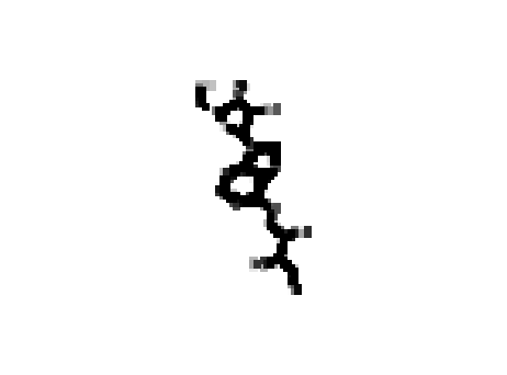 OCC(O)C(O)CNc1ncnc2c1ncn2C1O[C@H](CO)[C@@H](O)[C@H]1O